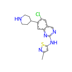 Cc1cc(Nc2ncc3cc(Cl)c(C4CCNCC4)cc3n2)sn1